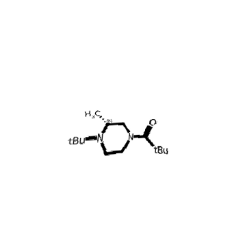 C[C@@H]1CN(C(=O)C(C)(C)C)CCN1C(C)(C)C